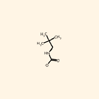 CC(C)(C)CNC([O])=O